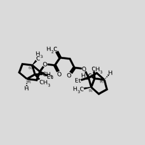 C=C(CC(=O)OC1(CC)C[C@H]2CC[C@@]1(C)C2(C)C)C(=O)OC1(CC)C[C@H]2CC[C@@]1(C)C2(C)C